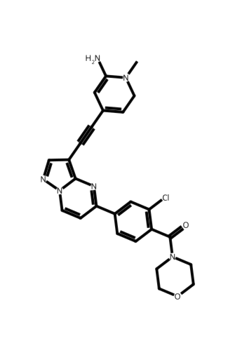 CN1CC=C(C#Cc2cnn3ccc(-c4ccc(C(=O)N5CCOCC5)c(Cl)c4)nc23)C=C1N